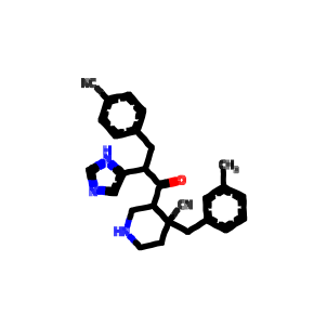 Cc1cccc(CC2(C#N)CCNCC2C(=O)C(Cc2ccc(C#N)cc2)c2cnc[nH]2)c1